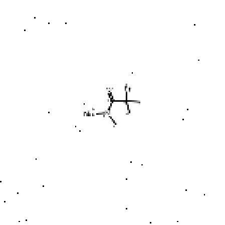 CCCCN(C)C(=O)C(C)(C)CC